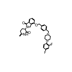 C=C1CCC(N2Cc3c(OCc4ccc(CN5CCN(c6ccc(F)cc6F)CC5)cc4)cccc3C2=O)C(=O)N1